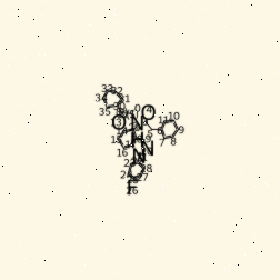 C[C@H](NC(=O)Cc1ccccc1)[C@H](Oc1ccc2c(cnn2-c2ccc(F)cc2)c1)c1ccccc1